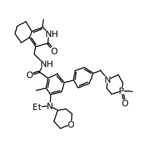 CCN(c1cc(-c2ccc(CN3CCP(C)(=O)CC3)cc2)cc(C(=O)NCc2c3c(c(C)[nH]c2=O)CCCC3)c1C)C1CCOCC1